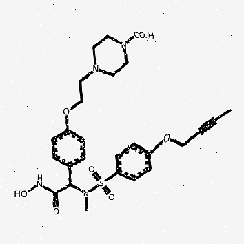 CC#CCOc1ccc(S(=O)(=O)N(C)C(C(=O)NO)c2ccc(OCCN3CCN(C(=O)O)CC3)cc2)cc1